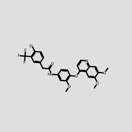 COc1cc2nccc(Oc3ccc(NC(=O)Cc4ccc(Cl)c(C(F)(F)F)c4)cc3OC)c2cc1OC